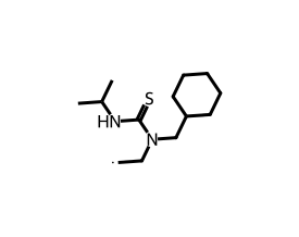 [CH2]CN(CC1CCCCC1)C(=S)NC(C)C